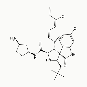 C=C(/C=C\C=C(\Cl)CF)[C@H]1[C@H](C(=O)N[C@H]2CC[C@@H](N)C2)N[C@H](CC(C)(C)C)[C@]12C(=O)Nc1cc(Cl)ccc12